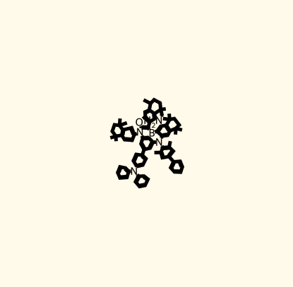 Cc1cc(-c2ccccc2)cc(C)c1N1c2cc3c(cc2B2c4c(cc(-c5ccc(N(c6ccccc6)c6ccccc6)cc5)cc41)N(c1ccc4c(c1)C(C)(C)CCC4(C)C)c1oc4cc5c(cc4c12)C(C)(CN)CCC5C)C(C)(C)CCC3(C)C